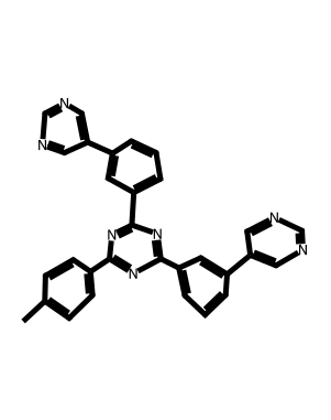 Cc1ccc(-c2nc(-c3cccc(-c4cncnc4)c3)nc(-c3cccc(-c4cncnc4)c3)n2)cc1